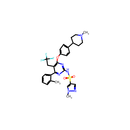 Cc1ccccc1-c1nc(NS(=O)(=O)c2cnn(C)c2)nc(Oc2ccc(C3CCN(C)CC3)cc2)c1CC(F)(F)F